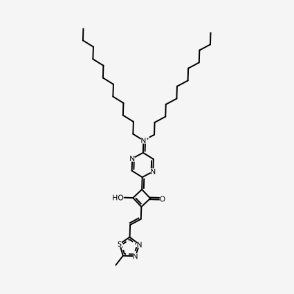 CCCCCCCCCCCC[N+](CCCCCCCCCCCC)=C1C=N/C(=C2\C(=O)C(/C=C/c3nnc(C)s3)=C2O)C=N1